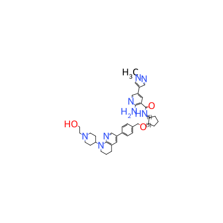 Cn1cc(-c2cnc(N)c(C(=O)N[C@H]3CCC[C@@H]3OCc3ccc(-c4cnc5c(c4)CCCN5C4CCN(CCO)CC4)cc3)c2)cn1